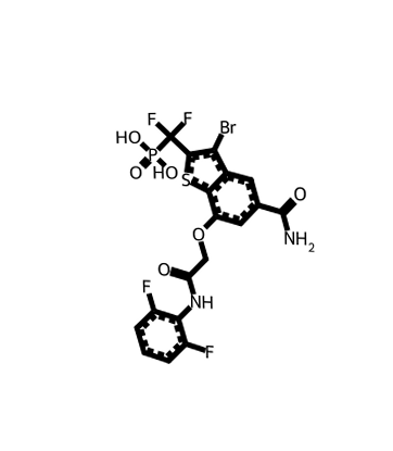 NC(=O)c1cc(OCC(=O)Nc2c(F)cccc2F)c2sc(C(F)(F)P(=O)(O)O)c(Br)c2c1